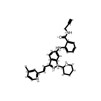 C#CCNC(=O)c1ccccc1Nc1ccc2c(C=Cc3cc(C)ccn3)nn(C3CCCCO3)c2c1